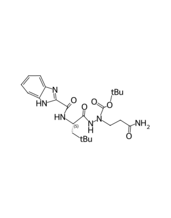 CC(C)(C)C[C@H](NC(=O)c1nc2ccccc2[nH]1)C(=O)NN(CCC(N)=O)C(=O)OC(C)(C)C